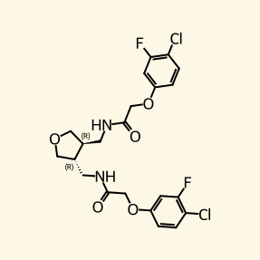 O=C(COc1ccc(Cl)c(F)c1)NC[C@@H]1COC[C@H]1CNC(=O)COc1ccc(Cl)c(F)c1